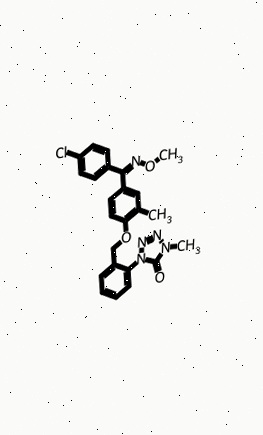 CON=C(c1ccc(Cl)cc1)c1ccc(OCc2ccccc2-n2nnn(C)c2=O)c(C)c1